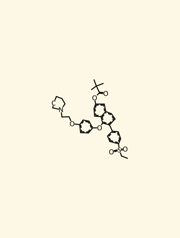 CCS(=O)(=O)c1ccc(-c2ccc3cc(OC(=O)C(C)(C)C)ccc3c2Oc2ccc(OCCN3CCCCC3)cc2)cc1